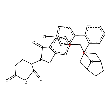 O=C1CCC(N2Cc3cc(CN4CC5CCC(C4)N5Cc4ccccc4-c4ccc(Cl)cc4)ccc3C2=O)C(=O)N1